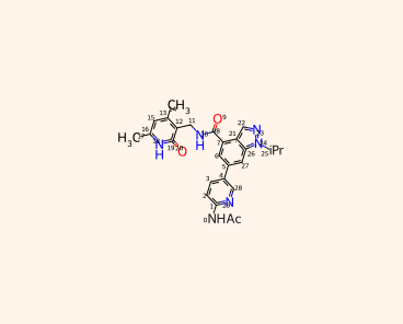 CC(=O)Nc1ccc(-c2cc(C(=O)NCc3c(C)cc(C)[nH]c3=O)c3cnn(C(C)C)c3c2)cn1